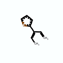 C=C/C(=C\C)c1cccs1